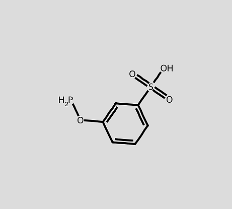 O=S(=O)(O)c1cccc(OP)c1